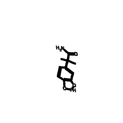 CC(C)(C(N)=O)c1ccc2c(c1)OPO2